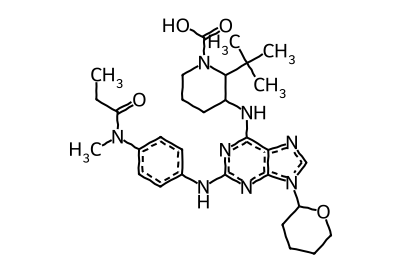 CCC(=O)N(C)c1ccc(Nc2nc(NC3CCCN(C(=O)O)C3C(C)(C)C)c3ncn(C4CCCCO4)c3n2)cc1